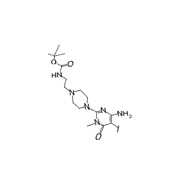 Cn1c(N2CCN(CCNC(=O)OC(C)(C)C)CC2)nc(N)c(I)c1=O